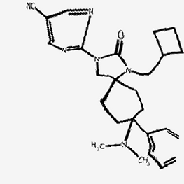 CN(C)C1(c2ccccc2)CCC2(CC1)CN(c1ncc(C#N)cn1)C(=O)N2CC1CCC1